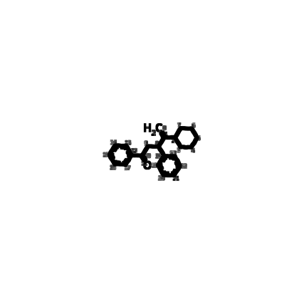 C=C(C1CCCCC1)C(CC(=O)c1ccccc1)c1ccccc1